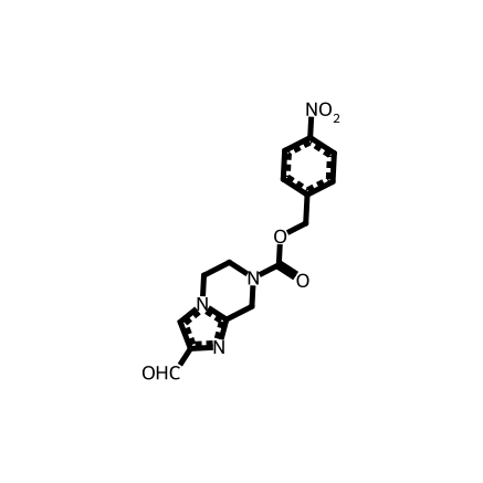 O=Cc1cn2c(n1)CN(C(=O)OCc1ccc([N+](=O)[O-])cc1)CC2